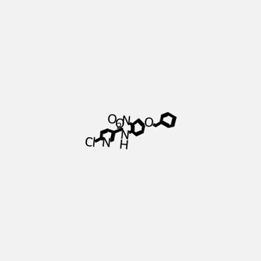 O=C(Nc1ccc(OCc2ccccc2)cc1[N+](=O)[O-])c1ccc(Cl)nc1